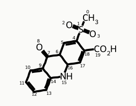 CS(=O)(=O)C1=CC2C(=O)c3ccccc3NC2C=C1C(=O)O